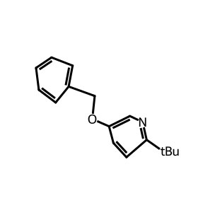 CC(C)(C)c1ccc(OCc2ccccc2)cn1